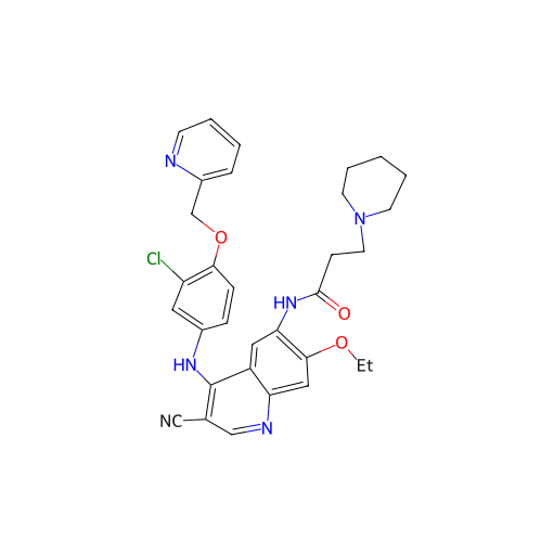 CCOc1cc2ncc(C#N)c(Nc3ccc(OCc4ccccn4)c(Cl)c3)c2cc1NC(=O)CCN1CCCCC1